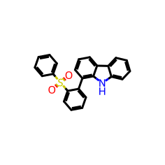 O=S(=O)(c1ccccc1)c1ccccc1-c1cccc2c1[nH]c1ccccc12